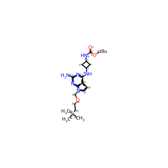 CC(C)(C)OC(=O)NC1CC(Nc2nc(N)nc3c2ccn3COCC[Si](C)(C)C)C1